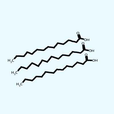 CCCCCCCCCCCCCC(=O)O.CCCCCCCCCCCCCC(=O)O.CCCCCCCCCCCCCC(=O)O